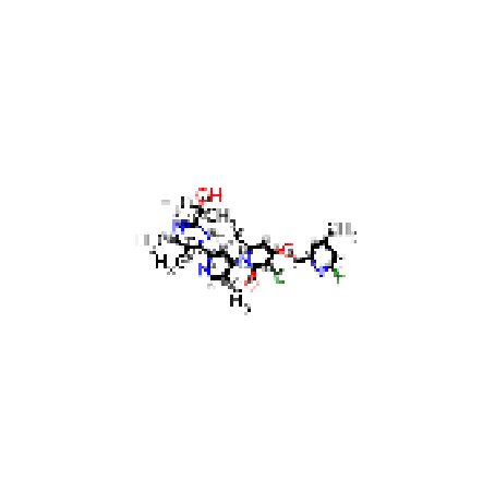 Cc1cc(F)nc(COc2cc(C)n(-c3cc(C4=NC(C(C)(C)O)=NC(C)C4C)ncc3C)c(=O)c2Cl)c1